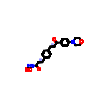 O=C(/C=C/c1ccc(/C=C/C(=O)c2ccc(N3CCOCC3)cc2)cc1)NO